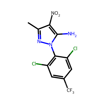 Cc1nn(-c2c(Cl)cc(C(F)(F)F)cc2Cl)c(N)c1[N+](=O)[O-]